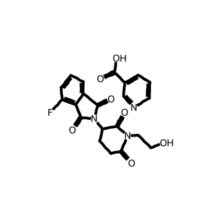 O=C(O)c1cccnc1.O=C1CCC(N2C(=O)c3cccc(F)c3C2=O)C(=O)N1CCO